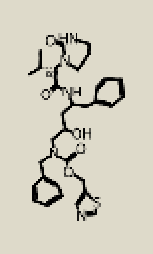 CC(C)[C@@H](C(=O)NC(Cc1ccccc1)CC(O)CN(Cc1ccccc1)C(=O)OCc1cncs1)N1CCCNC1=O